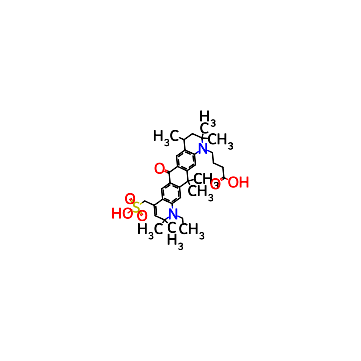 CCN1c2cc3c(cc2C(CS(=O)(=O)O)=CC1(C)C)C(=O)c1cc2c(cc1C3(C)C)N(CCCC(=O)O)C(C)(C)CC2C